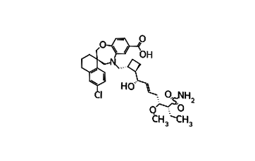 CC[C@H]([C@@H](C/C=C/[C@H](O)[C@@H]1CC[C@H]1CN1C[C@@]2(CCCc3cc(Cl)ccc32)COc2ccc(C(=O)O)cc21)OC)S(N)(=O)=O